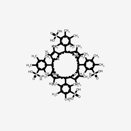 CC1=C(C)c2nc1c(-c1c(C)c(C)c(C)c(P(=O)(O)O)c1C)c1[nH]c(c(C)c1C)c(-c1c(C)c(C)c(C)c(P(=O)(O)O)c1C)c1nc(c(-c3c(C)c(C)c(C)c(P(=O)(O)O)c3C)c3[nH]c(c(C)c3C)c2-c2c(C)c(C)c(C)c(P(=O)(O)O)c2C)C(C)=C1C